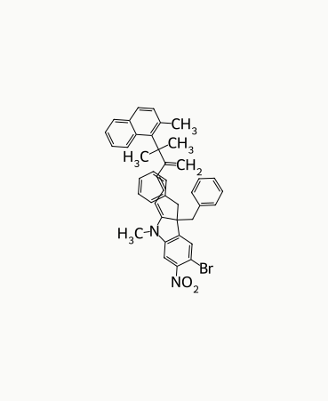 C=C(/C=C/C=C1/N(C)c2cc([N+](=O)[O-])c(Br)cc2C1(Cc1ccccc1)Cc1ccccc1)C(C)(C)c1c(C)ccc2ccccc12